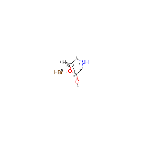 Br.O=C1O[C@@H]2CNC1C2